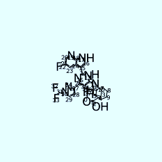 O=C(O)[C@H]1C2CCC(CC2)[C@@H]1Nc1nc(-c2c[nH]c3ncc(F)cc23)nc(-c2ccn(C(F)F)n2)c1F